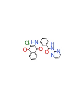 O=C(Nc1ncccn1)c1cccc(NC2=C(Cl)C(=O)c3ccccc3C2=O)c1